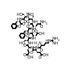 N=C(N)NCCC[C@H](N)C(=O)N[C@@H](CCC(=O)O)C(=O)N[C@@H](CCC(=O)O)C(=O)N[C@@H](CO)C(=O)N[C@@H](CC(=O)O)C(=O)N[C@@H](Cc1ccccc1)C(=O)N[C@@H](CCC(N)=O)C(=O)N[C@@H](CO)C(=O)N[C@@H](CO)C(=O)N[C@@H](Cc1ccccc1)C(=O)O